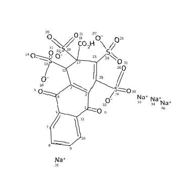 O=C1C2=C(C(=O)c3ccccc31)C(S(=O)(=O)[O-])C(C(=O)O)(S(=O)(=O)[O-])C(S(=O)(=O)[O-])=C2S(=O)(=O)[O-].[Na+].[Na+].[Na+].[Na+]